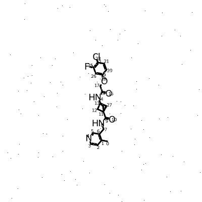 Cc1ccncc1CNC(=O)C12CC(NC(=O)COc3ccc(Cl)c(F)c3)(C1)C2